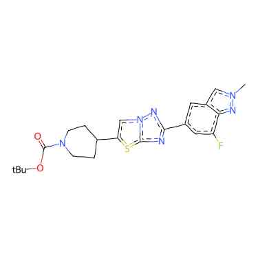 Cn1cc2cc(-c3nc4sc(C5CCN(C(=O)OC(C)(C)C)CC5)cn4n3)cc(F)c2n1